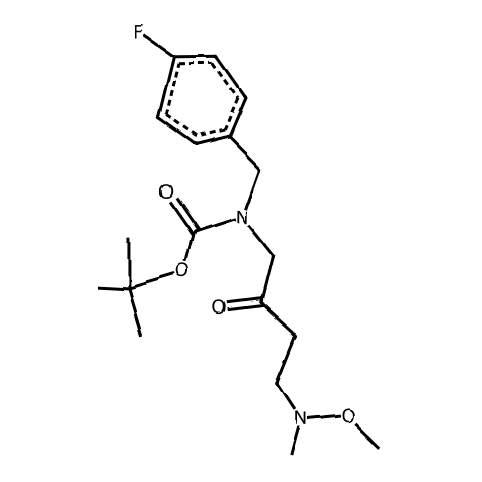 CON(C)CCC(=O)CN(Cc1ccc(F)cc1)C(=O)OC(C)(C)C